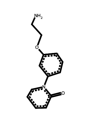 NCCOc1[c]ccc(-n2ccccc2=O)c1